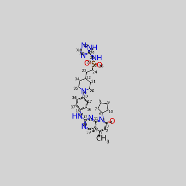 Cc1cc(=O)n(C2CCCC2)c2nc(Nc3ccc(N4CCC(CCS(=O)(=O)Nc5ncn[nH]5)CC4)cc3)ncc12